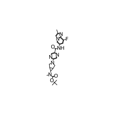 Cc1cn2cc(NC(=O)c3cnc(N4CC5C(C4)C5N(C)C(=O)OC(C)(C)C)cn3)cc(F)c2n1